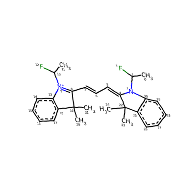 CC(F)N1/C(=C/C=C/C2=[N+](C(C)F)c3ccccc3C2(C)C)C(C)(C)c2ccccc21